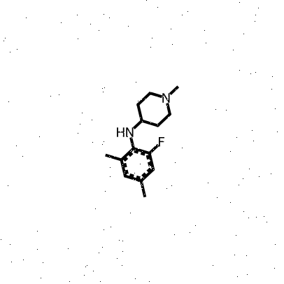 Cc1cc(C)c(NC2CCN(C)CC2)c(F)c1